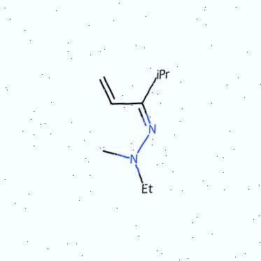 C=C/C(=N\N(C)CC)C(C)C